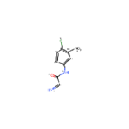 N=CC(=O)Nc1ccc(Cl)c([N+](=O)[O-])c1